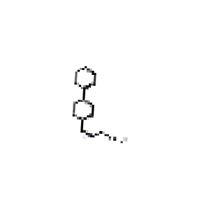 O=C(O)C/C=C\c1ccc(-c2ccccc2)cc1